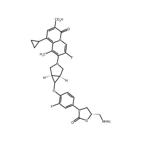 CC(=O)NC[C@H]1CN(c2ccc(OC3[C@H]4CN(c5c(F)cn6c(=O)c(C(=O)O)cc(C7CC7)c6c5C)C[C@@H]34)c(F)c2)C(=O)O1